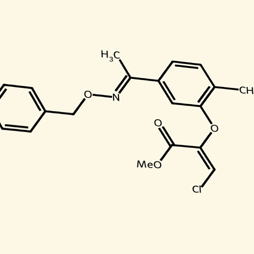 COC(=O)C(=CCl)Oc1cc(C(C)=NOCc2ccccc2)ccc1C